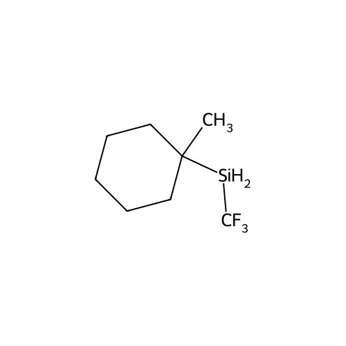 CC1([SiH2]C(F)(F)F)CCCCC1